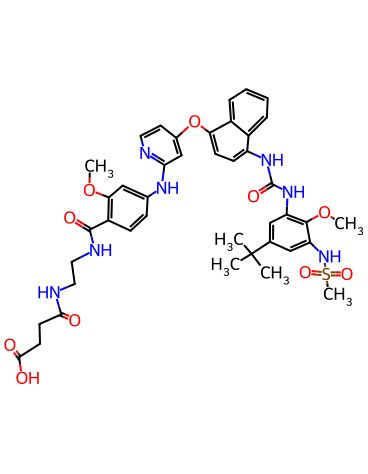 COc1cc(Nc2cc(Oc3ccc(NC(=O)Nc4cc(C(C)(C)C)cc(NS(C)(=O)=O)c4OC)c4ccccc34)ccn2)ccc1C(=O)NCCNC(=O)CCC(=O)O